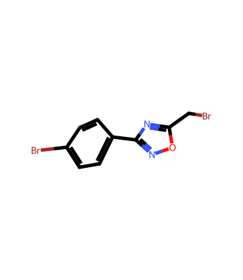 BrCc1nc(-c2ccc(Br)cc2)no1